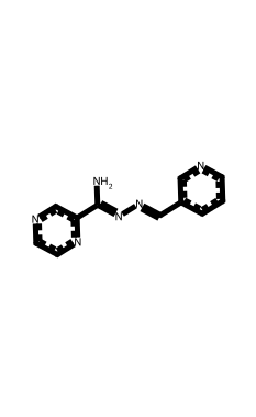 NC(=NN=Cc1cccnc1)c1cnccn1